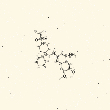 COc1cc2nc(N(C)CC3(c4ccccc4)CCN(S(=O)(=O)N(C)C)CC3)nc(N)c2cc1OC